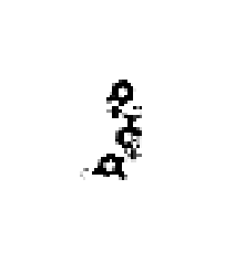 Cc1ccccc1NC(=O)c1ccc(Nc2ccc(Cl)cc2C)nc1